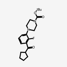 CC(C)(C)OC(=O)N1CCN(c2cccc(C(=O)C3CCCC3)c2F)CC1